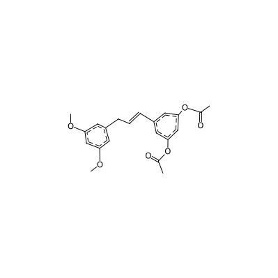 COc1cc(C/C=C/c2cc(OC(C)=O)cc(OC(C)=O)c2)cc(OC)c1